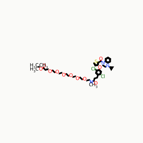 CN(CCOCCOCCOCCOCCOCCOCCC(=O)OC(C)(C)C)C(=O)CCc1cc(Cl)c(Oc2ccsc2C(=O)N2CCN(C3CC3)c3ccccc32)cc1Cl